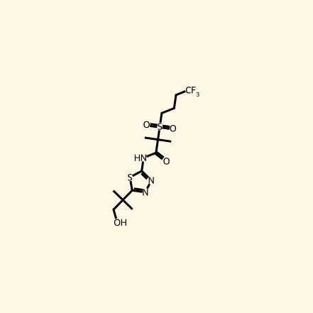 CC(C)(CO)c1nnc(NC(=O)C(C)(C)S(=O)(=O)CCCC(F)(F)F)s1